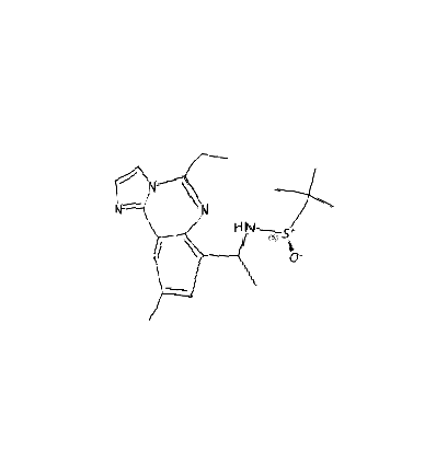 CCc1nc2c(C(C)N[S@+]([O-])C(C)(C)C)cc(C)cc2c2nccn12